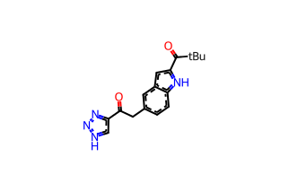 CC(C)(C)C(=O)c1cc2cc(CC(=O)c3c[nH]nn3)ccc2[nH]1